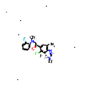 CCN(C)/C=N\c1cc(Cl)c(C(=O)CN(C)c2ccccc2F)cc1C